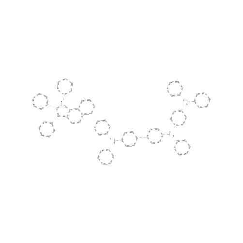 c1ccc(-c2c(-c3ccccc3)n(-c3ccccc3)c3c2ccc2c(-c4ccc(N(c5ccccc5)c5ccc(-c6ccc(N(c7ccccc7)c7ccc(N(c8ccccc8)c8ccccc8)cc7)cc6)cc5)cc4)cccc23)cc1